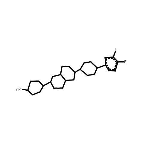 CCCC1CCC(C2CCC3CC(C4CCC(c5ccc(F)c(F)c5)CC4)CCC3C2)CC1